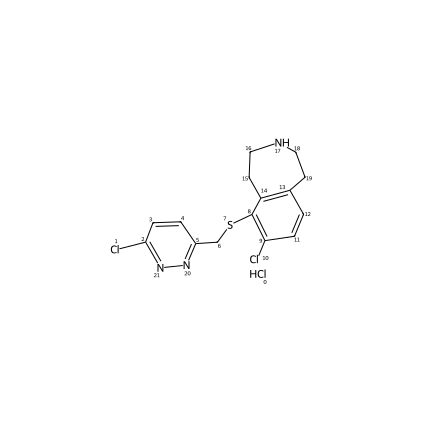 Cl.Clc1ccc(CSc2c(Cl)ccc3c2CCNCC3)nn1